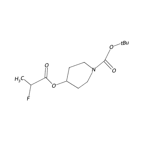 CC(F)C(=O)OC1CCN(C(=O)OC(C)(C)C)CC1